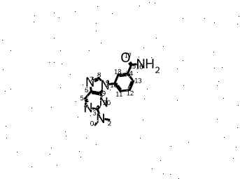 CN(C)c1ncc2ncn(-c3cccc(C(N)=O)c3)c2n1